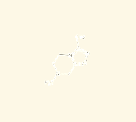 CN1CCn2c(cnc2C=O)C1